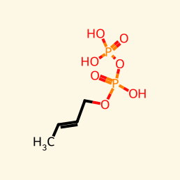 C/C=C/COP(=O)(O)OP(=O)(O)O